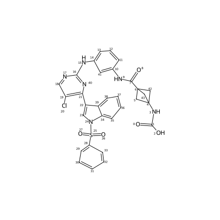 O=C(O)NC12CC(C(=O)Nc3cccc(Nc4ncc(Cl)c(-c5cn(S(=O)(=O)c6ccccc6)c6ccccc56)n4)c3)(C1)C2